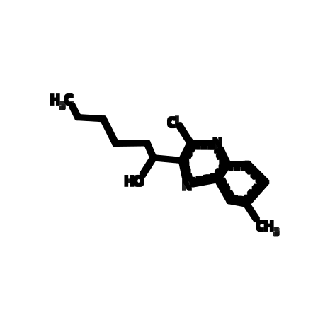 CCCCCC(O)c1nc2cc(C)ccc2nc1Cl